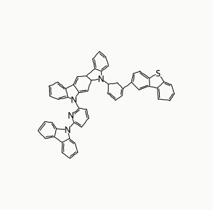 C1=CC(N2c3ccccc3C3C=c4c(n(-c5cccc(-n6c7ccccc7c7ccccc76)n5)c5ccccc45)=CC32)CC(c2ccc3sc4ccccc4c3c2)=C1